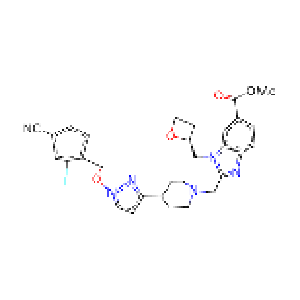 COC(=O)c1ccc2nc(CN3CCC(c4ccn(OCc5ccc(C#N)cc5F)n4)CC3)n(C[C@@H]3CCO3)c2c1